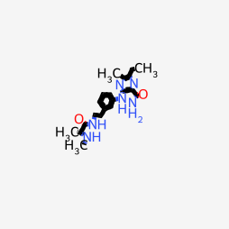 CCc1nc(C(N)=O)c(Nc2cccc(CCNC(=O)[C@H](C)NC)c2)nc1C